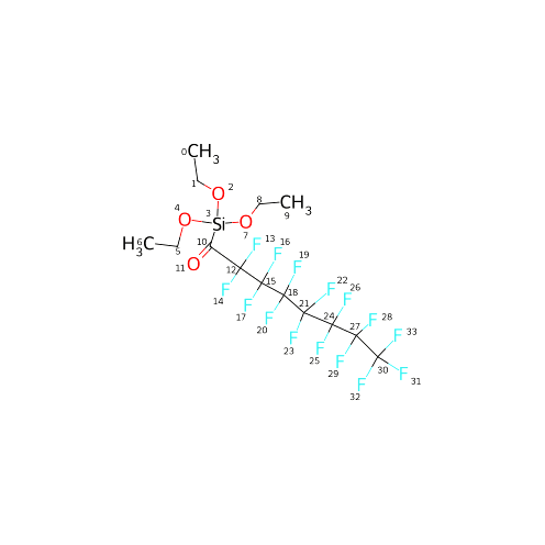 CCO[Si](OCC)(OCC)C(=O)C(F)(F)C(F)(F)C(F)(F)C(F)(F)C(F)(F)C(F)(F)C(F)(F)F